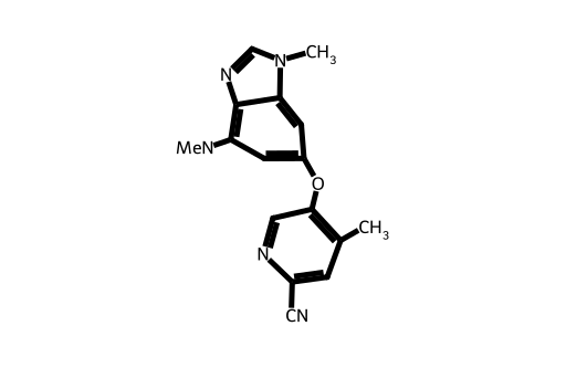 CNc1cc(Oc2cnc(C#N)cc2C)cc2c1ncn2C